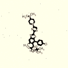 CC(=O)[C@@H](OC(C)(C)C)c1c(C)cc2nc(-c3nc(N4CCC(N(C)C)CC4)cs3)sc2c1-c1ccc(Cl)cc1